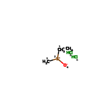 C.C[S+](C)[O-].Cl.Cl